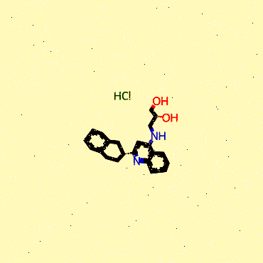 Cl.OC[C@H](O)CNc1cc([C@@H]2CCc3ccccc3C2)nc2ccccc12